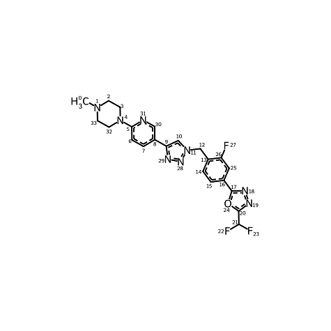 CN1CCN(c2ccc(-c3cn(Cc4ccc(-c5nnc(C(F)F)o5)cc4F)nn3)cn2)CC1